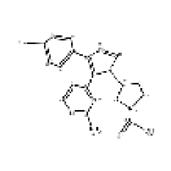 Nc1nccc(-c2c(-c3ccc(F)cc3)ncn2C2CCN(C(=O)O)C2)n1